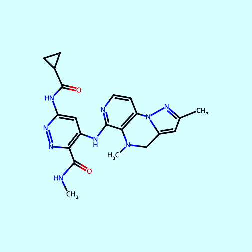 CNC(=O)c1nnc(NC(=O)C2CC2)cc1Nc1nccc2c1N(C)Cc1cc(C)nn1-2